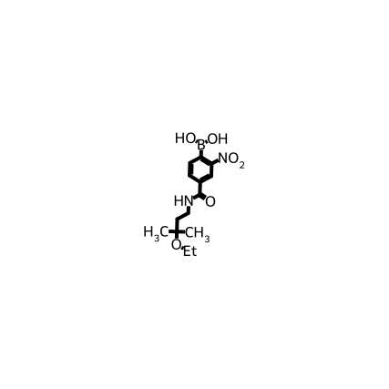 CCOC(C)(C)CCNC(=O)c1ccc(B(O)O)c([N+](=O)[O-])c1